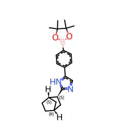 CC1(C)OB(c2ccc(-c3cnc([C@H]4C[C@@H]5CC[C@H]4C5)[nH]3)cc2)OC1(C)C